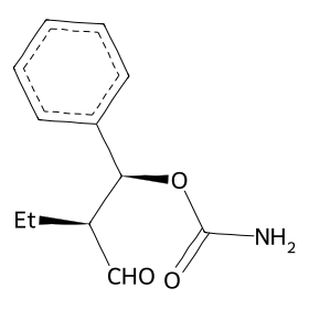 CC[C@H](C=O)[C@H](OC(N)=O)c1ccccc1